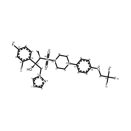 C[C@H]([C@](O)(Cn1cncn1)c1ccc(F)cc1F)S(=O)(=O)N1CCN(c2ccc(OCC(F)(F)F)cc2)CC1